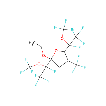 CCOC1(C(F)(OC(F)(F)F)C(F)(F)F)CC(C(F)(F)F)C(C(F)(OC(F)(F)F)C(F)(F)F)O1